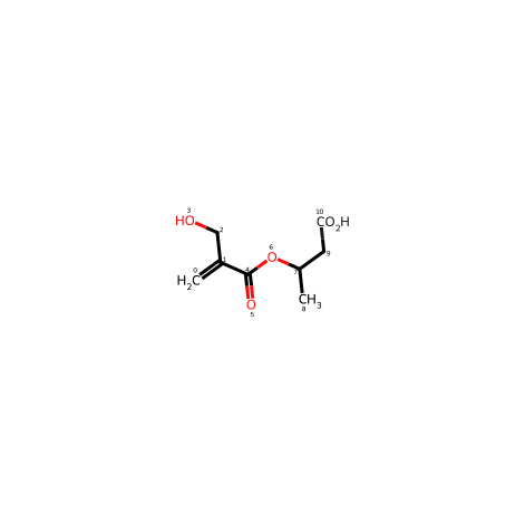 C=C(CO)C(=O)OC(C)CC(=O)O